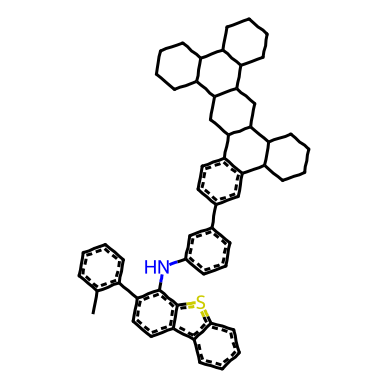 Cc1ccccc1-c1ccc2c(sc3ccccc32)c1Nc1cccc(-c2ccc3c(c2)C2CCCCC2C2CC4C5CCCCC5C5CCCCC5C4CC32)c1